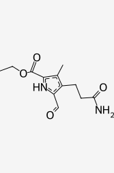 CCOC(=O)c1[nH]c(C=O)c(CCC(N)=O)c1C